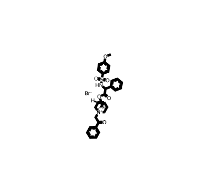 COc1ccc(S(=O)(=O)NC(C(=O)O[C@H]2C[N+]3(CC(=O)c4ccccc4)CCC2CC3)c2ccccc2)cc1.[Br-]